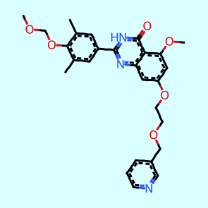 COCOc1c(C)cc(-c2nc3cc(OCCOCc4cccnc4)cc(OC)c3c(=O)[nH]2)cc1C